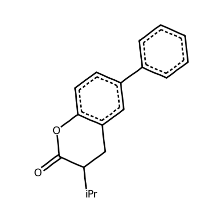 CC(C)C1Cc2cc(-c3ccccc3)ccc2OC1=O